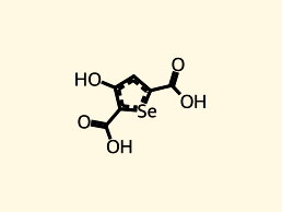 O=C(O)c1cc(O)c(C(=O)O)[se]1